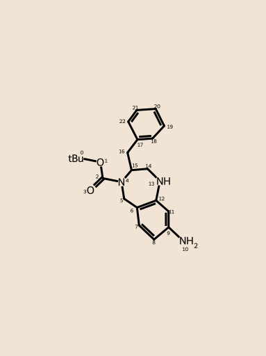 CC(C)(C)OC(=O)N1Cc2ccc(N)cc2NCC1Cc1ccccc1